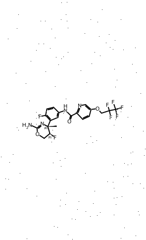 C[C@]1(c2cc(NC(=O)c3ccc(OCC(F)(F)C(F)(F)F)cn3)ccc2F)N=C(N)OC[C@@H]1F